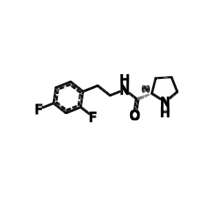 O=C(NCCc1ccc(F)cc1F)[C@@H]1CCCN1